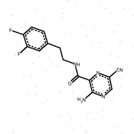 N#Cc1cnc(N)c(C(=O)NCCc2ccc(F)c(F)c2)n1